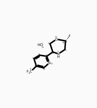 C[C@@H]1CNC(c2ccc(C(F)(F)F)cn2)CO1.Cl